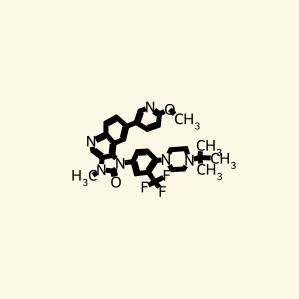 COc1ccc(-c2ccc3ncc4c(c3c2)n(-c2ccc(N3CCN(C(C)(C)C)CC3)c(C(F)(F)F)c2)c(=O)n4C)cn1